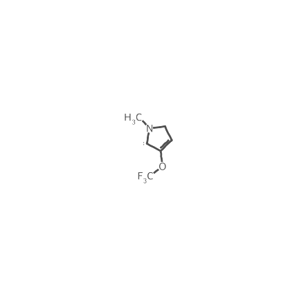 CN1[C]C(OC(F)(F)F)=CC1